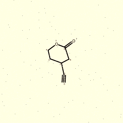 C#CC1CCOC(=O)C1